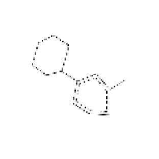 Cc1cccc([C]2CCCCC2)c1